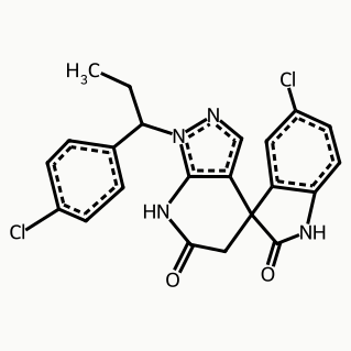 CCC(c1ccc(Cl)cc1)n1ncc2c1NC(=O)CC21C(=O)Nc2ccc(Cl)cc21